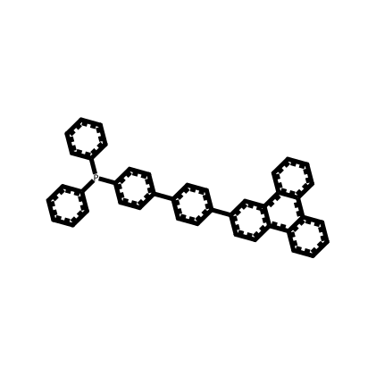 c1ccc(P(c2ccccc2)c2ccc(-c3ccc(-c4ccc5c6ccccc6c6ccccc6c5c4)cc3)cc2)cc1